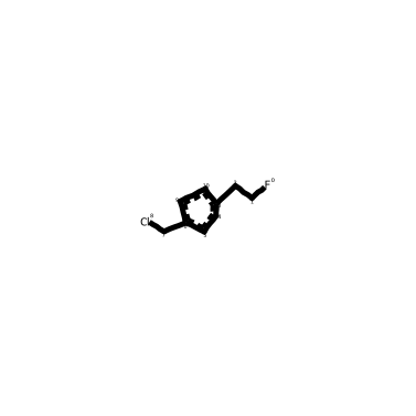 FCCc1ccc(CCl)cc1